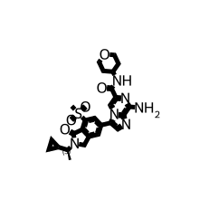 C[C@@H](C1CC1)N1Cc2cc(-c3cnc4c(N)nc(C(=O)NC5CCOCC5)cn34)cc(S(C)(=O)=O)c2C1=O